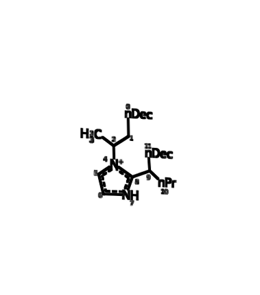 CCCCCCCCCCCC(C)[n+]1cc[nH]c1C(CCC)CCCCCCCCCC